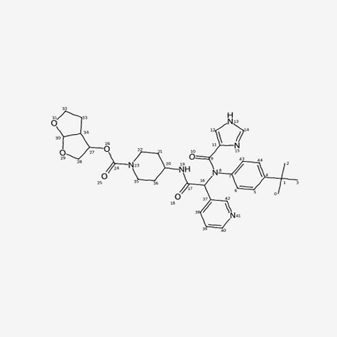 CC(C)(C)c1ccc(N(C(=O)c2c[nH]cn2)C(C(=O)NC2CCN(C(=O)OC3COC4OCCC34)CC2)c2cccnc2)cc1